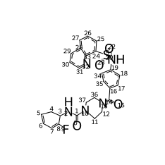 O=C(NC1CC=CC=C1F)N1CCN(C(=O)c2ccc(NS(=O)(=O)c3cccc4cccnc34)cc2)CC1